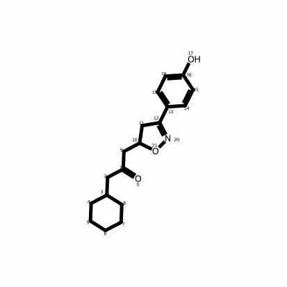 O=C(CC1CCCCC1)CC1CC(c2ccc(O)cc2)=NO1